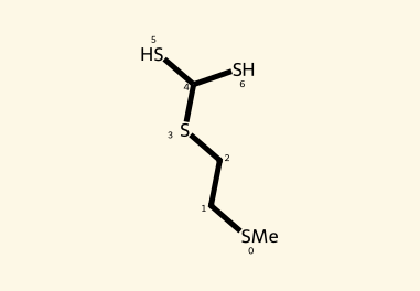 CSCCSC(S)S